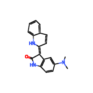 CN(C)c1ccc2c(c1)C(=C1C=Cc3ccccc3N1)C(=O)N2